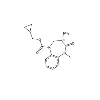 CN1C(=O)[C@@H](N)CN(C(=O)OCC2CC2)c2ccccc21